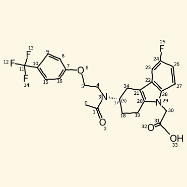 CC(=O)N(CCOc1ccc(C(F)(F)F)cc1)[C@H]1CCc2c(c3cc(F)ccc3n2CC(=O)O)C1